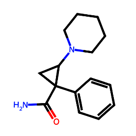 NC(=O)C1(c2ccccc2)CC1N1CCCCC1